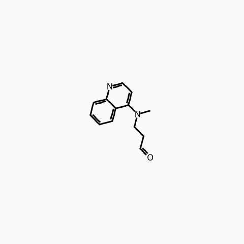 CN(CCC=O)c1ccnc2ccccc12